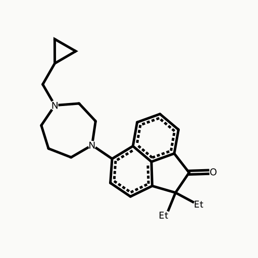 CCC1(CC)C(=O)c2cccc3c(N4CCCN(CC5CC5)CC4)ccc1c23